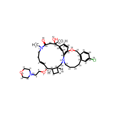 CN1CC/C=C/[C@H](OCCN2CCOCC2)[C@@H]2CC[C@H]2CN2CCCCc3cc(Cl)ccc3COc3ccc(cc32)C(O)(C(=O)O)CC1=O